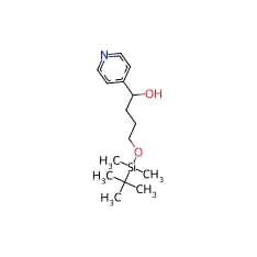 CC(C)(C)[Si](C)(C)OCCCC(O)c1ccncc1